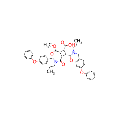 CCCN(Cc1ccc(Oc2ccccc2)cc1)C(=O)[C@H]1[C@@H](C(=O)O)[C@H](C(=O)OC)[C@@H]1C(=O)N(CCC)Cc1ccc(Oc2ccccc2)cc1